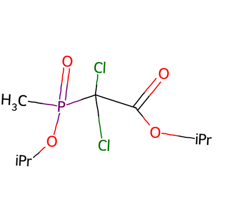 CC(C)OC(=O)C(Cl)(Cl)P(C)(=O)OC(C)C